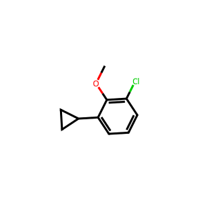 COc1c(Cl)cccc1C1CC1